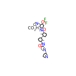 Cc1c(-c2nc3c(o2)CCN(Cc2cccnc2)C3)cccc1-c1cccc(-c2nc3cc(CN4CCCC4C(=O)O)c(OC(F)F)cc3o2)c1C